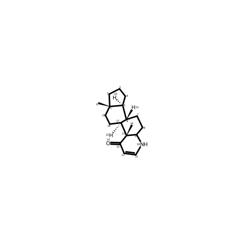 C[C@@]12CCC[C@H]1[C@@H]1CCC3NC=CC(=O)[C@]3(C)[C@H]1CC2